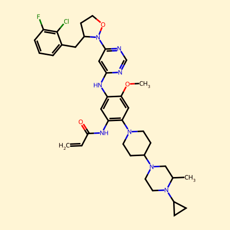 C=CC(=O)Nc1cc(Nc2cc(N3OCCC3Cc3cccc(F)c3Cl)ncn2)c(OC)cc1N1CCC(N2CCN(C3CC3)C(C)C2)CC1